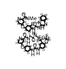 CN(C)C(=O)CNC(=O)c1cc(Oc2ccc(NC(=O)Nc3ccc4c(c3)C(F)(F)OC(F)(F)O4)cc2)ccn1.CNC(=O)c1cc(Oc2ccc(NC(=O)Nc3cnc4ccccc4n3)c(F)c2)ccn1